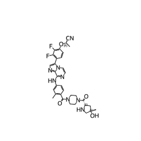 Cc1cc(Nc2nccn3c(-c4ccc(O[C@H](C)C#N)c(F)c4F)cnc23)ccc1C(=O)N1CCN(C(=O)[C@@H]2C[C@](C)(O)CN2)CC1